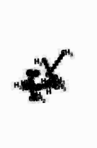 CCC=CCC=CCCCCCC(CCCCCCC)C(=O)COC(=O)C(C)(C)NC(=O)[C@H](CC(C)C)NC(=O)OCc1ccc(NC(=O)[C@H](CCCNC(N)=O)NC(=O)[C@@H](NC(=O)OCC2c3ccccc3-c3ccccc32)C(C)C)cc1